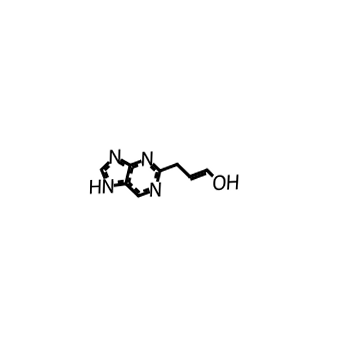 OC=CCc1ncc2[nH]cnc2n1